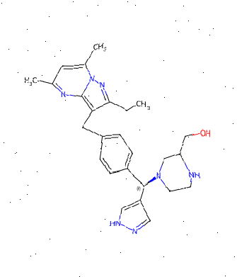 CCc1nn2c(C)cc(C)nc2c1Cc1ccc([C@H](c2cn[nH]c2)N2CCNC(CO)C2)cc1